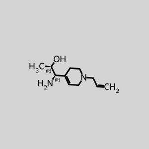 C=CCN1CC=C([C@@H](N)[C@@H](C)O)CC1